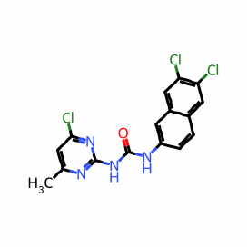 Cc1cc(Cl)nc(NC(=O)Nc2ccc3cc(Cl)c(Cl)cc3c2)n1